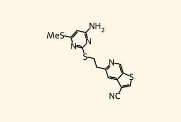 CSc1cc(N)nc(SCCc2cc3c(C#N)csc3cn2)n1